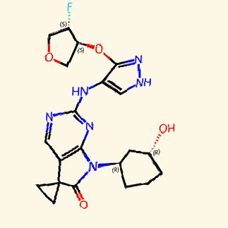 O=C1N([C@@H]2CCC[C@@H](O)C2)c2nc(Nc3c[nH]nc3O[C@H]3COC[C@@H]3F)ncc2C12CC2